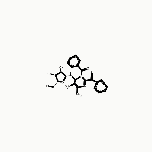 NC1=C([N+](=O)[O-])C(N[C@@H]2O[C@H](CO)[C@@H](O)[C@H]2O)N(C(=O)c2ccccc2)C(C(=O)c2ccccc2)=N1